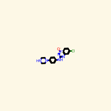 [O-][n+]1nc(Nc2ccc(N3CCNCC3)cc2)nc2cc(Cl)ccc21